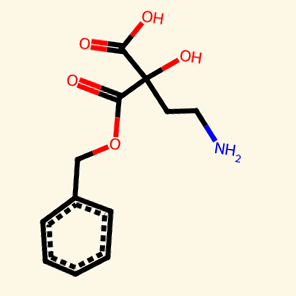 NCCC(O)(C(=O)O)C(=O)OCc1ccccc1